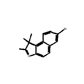 CC1=Nc2ccc3cc(Br)ccc3c2C1(C)C